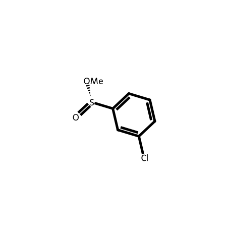 CO[S@@](=O)c1cccc(Cl)c1